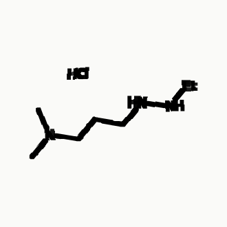 CCNNCCCN(C)C.Cl